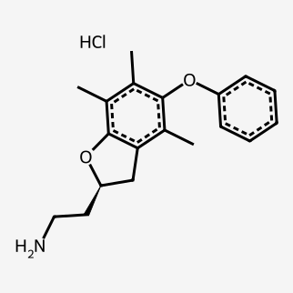 Cc1c(C)c2c(c(C)c1Oc1ccccc1)C[C@@H](CCN)O2.Cl